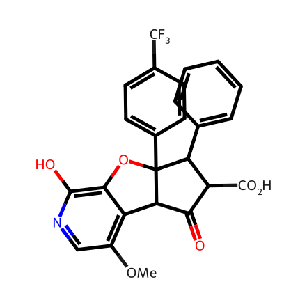 COc1cnc(O)c2c1C1C(=O)C(C(=O)O)C(c3ccccc3)C1(c1ccc(C(F)(F)F)cc1)O2